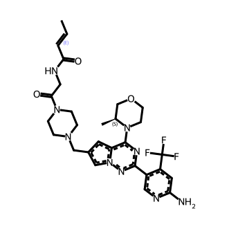 C/C=C/C(=O)NCC(=O)N1CCN(Cc2cc3c(N4CCOC[C@@H]4C)nc(-c4cnc(N)cc4C(F)(F)F)nn3c2)CC1